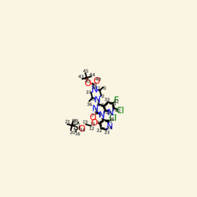 CC1CN(c2nc(=O)n(-c3c(OCCO[Si](C)(C)C(C)(C)C)ccnc3Cl)c3nc(Cl)c(F)cc23)C(C)CN1C(=O)OC(C)(C)C